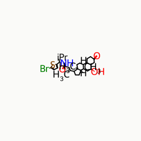 CC(C)C(NC(=O)C[C@@H](C)C1CC[C@H]2C3C[C@H](O)C4CC(=O)CCC4(C)[C@H]3CCC12C)c1ccc(Br)s1